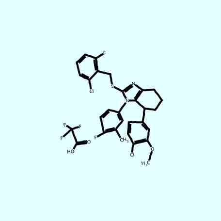 COc1cc(C2CCCc3nc(SCc4c(F)cccc4Cl)n(-c4ccc(F)c(C)c4)c32)ccc1Cl.O=C(O)C(F)(F)F